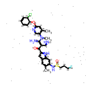 Cc1cc2cc(C(=O)/C(C=N)=C(\N)N(C)c3cnc(OC4C=CC=CC4Cl)cc3C)[nH]c2cc1N[S+]([O-])CCCF